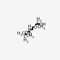 CC(C)(O)COCCNC(=O)OC(C)(C)C